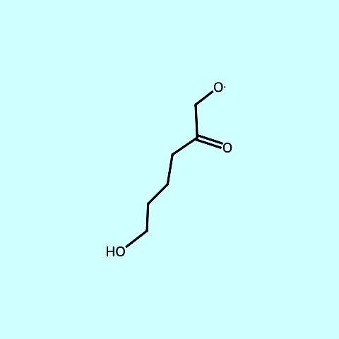 [O]CC(=O)CCCCO